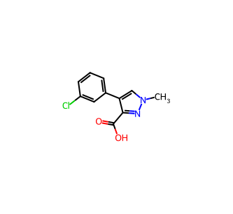 Cn1cc(-c2cccc(Cl)c2)c(C(=O)O)n1